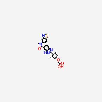 Cc1cc(OCC(=O)O)cc(C)c1-c1nc2ccc(C(=O)N(C)c3ccc4scnc4c3)cc2[nH]1